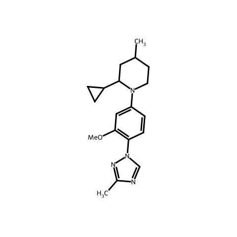 COc1cc(N2CCC(C)CC2C2CC2)ccc1-n1cnc(C)n1